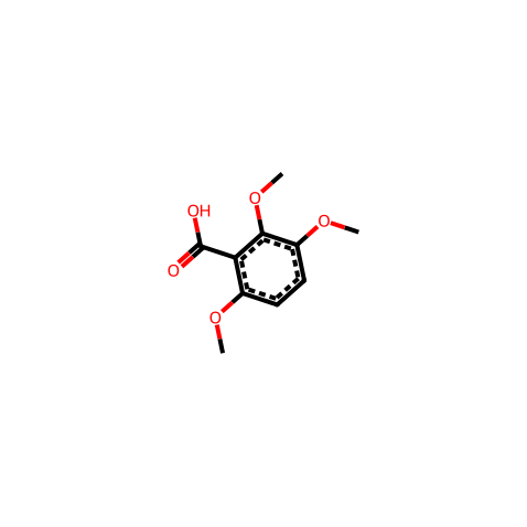 COc1ccc(OC)c(C(=O)O)c1OC